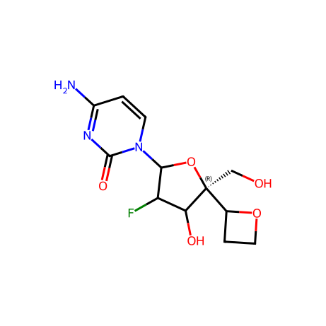 Nc1ccn(C2O[C@@](CO)(C3CCO3)C(O)C2F)c(=O)n1